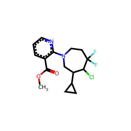 COC(=O)c1cccnc1N1CCC(F)(F)C(Cl)C(C2CC2)C1